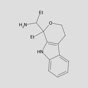 CCC(N)C1(CC)OCCc2c1[nH]c1ccccc21